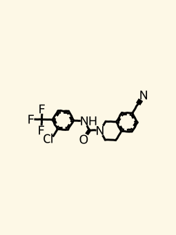 N#Cc1ccc2c(c1)CN(C(=O)Nc1ccc(C(F)(F)F)c(Cl)c1)CC2